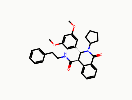 COc1cc(OC)cc([C@H]2[C@H](C(=O)NCCc3ccccc3)c3ccccc3C(=O)N2C2CCCC2)c1